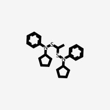 CC(SN(c1ccccc1)C1CCCC1)SN(c1ccccc1)C1CCCC1